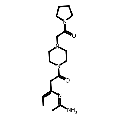 C/C=C(CC(=O)N1CCN(CC(=O)N2CCCC2)CC1)\N=C(/C)N